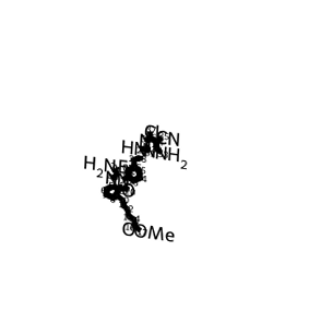 CC[C@H](N)c1nc2cccc(CCCCCC(=O)OC)c2c(=O)n1-c1cccc(CCNc2nc(N)c(C#N)c(Cl)n2)c1